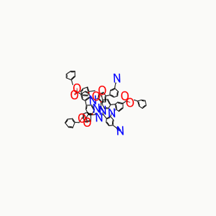 N#Cc1cccc(-c2ccc(-n3c4ccc(C(=O)OCc5ccccc5)cc4c4cc(C(=O)OCc5ccccc5)ccc43)c(-c3nc(-c4ccccc4)nc(-c4ccc(C#N)cc4-n4c5ccc(C(=O)OCc6ccccc6)cc5c5cc(C(=O)OCc6ccccc6)ccc54)n3)c2)c1